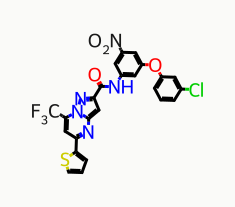 O=C(Nc1cc(Oc2cccc(Cl)c2)cc([N+](=O)[O-])c1)c1cc2nc(-c3cccs3)cc(C(F)(F)F)n2n1